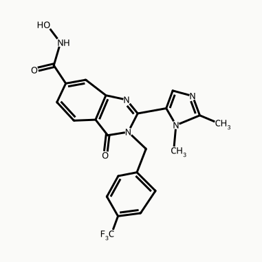 Cc1ncc(-c2nc3cc(C(=O)NO)ccc3c(=O)n2Cc2ccc(C(F)(F)F)cc2)n1C